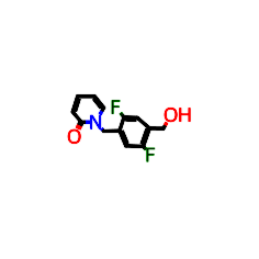 O=c1ccccn1Cc1cc(F)c(CO)cc1F